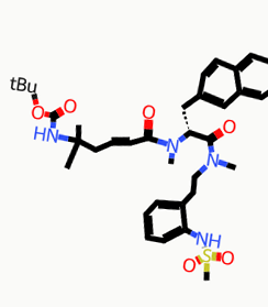 CN(CCc1ccccc1NS(C)(=O)=O)C(=O)[C@@H](Cc1ccc2ccccc2c1)N(C)C(=O)C=CCC(C)(C)NC(=O)OC(C)(C)C